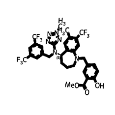 COC(=O)c1cc(CN2CCC[C@H](N(Cc3cc(C(F)(F)F)cc(C(F)(F)F)c3)c3nnn(C)n3)c3cc(C)c(C(F)(F)F)cc32)ccc1O